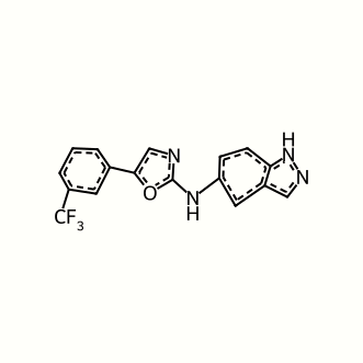 FC(F)(F)c1cccc(-c2cnc(Nc3ccc4[nH]ncc4c3)o2)c1